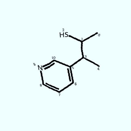 CC(S)C(C)c1cccnc1